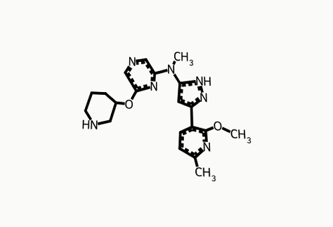 COc1nc(C)ccc1-c1cc(N(C)c2cncc(OC3CCCNC3)n2)[nH]n1